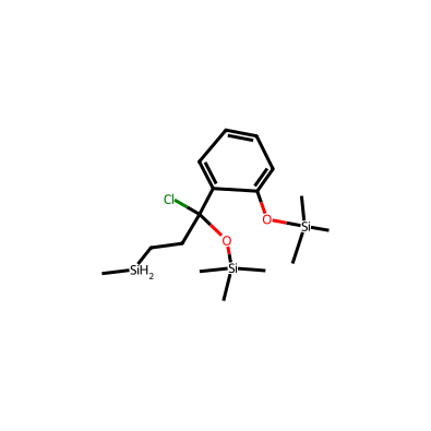 C[SiH2]CCC(Cl)(O[Si](C)(C)C)c1ccccc1O[Si](C)(C)C